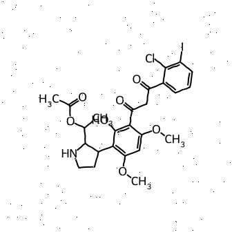 COc1cc(OC)c(C2CCNC2C(C)OC(C)=O)c(O)c1C(=O)CC(=O)c1cccc(I)c1Cl